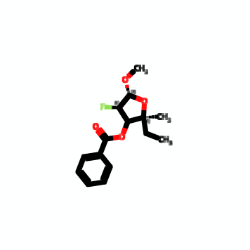 CC[C@]1(C)O[C@@H](OC)[C@H](F)C1OC(=O)c1ccccc1